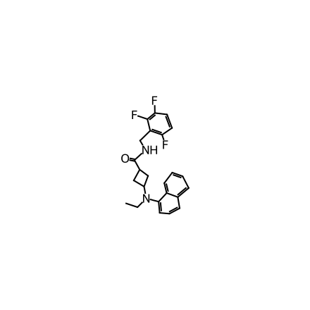 CCN(c1cccc2ccccc12)C1CC(C(=O)NCc2c(F)ccc(F)c2F)C1